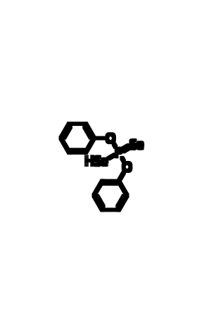 [Se]=P([SeH])(Oc1ccccc1)Oc1ccccc1